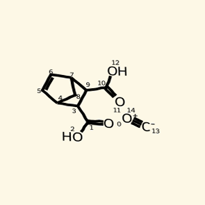 O=C(O)C1C2C=CC(C2)C1C(=O)O.[C-]#[O+]